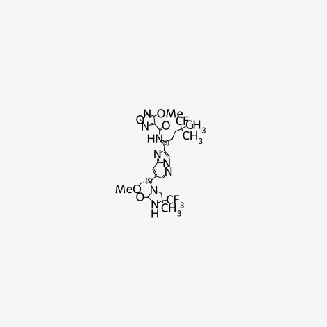 COC[C@H](c1cnn2cc([C@H](CCC(C)(C)C(F)(F)F)NC(=O)c3nonc3OC)nc2c1)N1CC(C)(C(F)(F)F)NC1=O